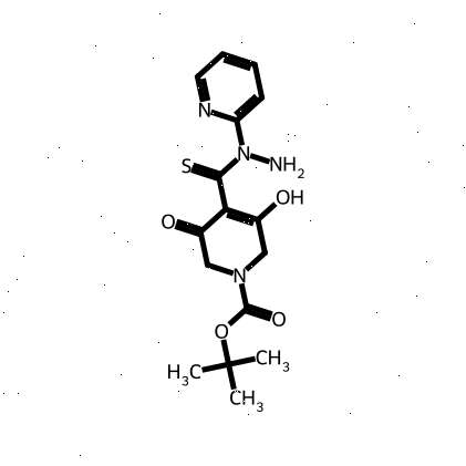 CC(C)(C)OC(=O)N1CC(=O)C(C(=S)N(N)c2ccccn2)=C(O)C1